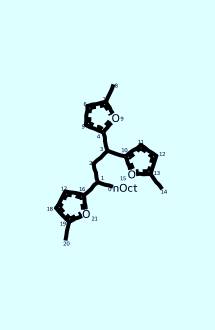 CCCCCCCCC(CC(c1ccc(C)o1)c1ccc(C)o1)c1ccc(C)o1